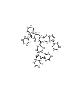 c1ccc(-n2ccc3cc4c5cc6c7ccccc7n(-c7ccccc7)c6cc5n(-c5ccc(-c6nc7ccccc7n6-c6ccccc6)cc5)c4cc32)cc1